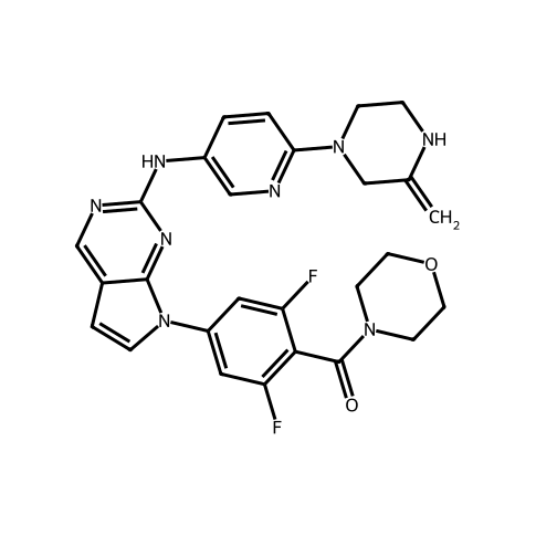 C=C1CN(c2ccc(Nc3ncc4ccn(-c5cc(F)c(C(=O)N6CCOCC6)c(F)c5)c4n3)cn2)CCN1